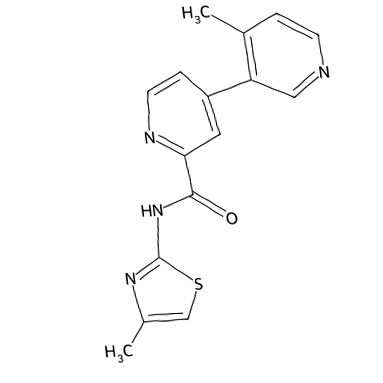 Cc1csc(NC(=O)c2cc(-c3cnccc3C)ccn2)n1